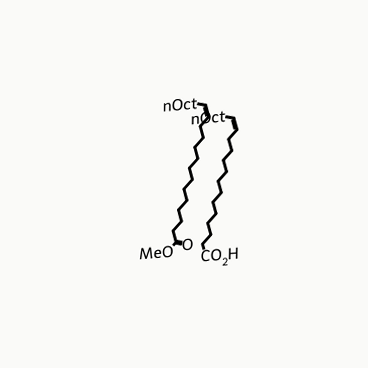 CCCCCCCC/C=C\CCCCCCCCCCCC(=O)O.CCCCCCCC/C=C\CCCCCCCCCCCC(=O)OC